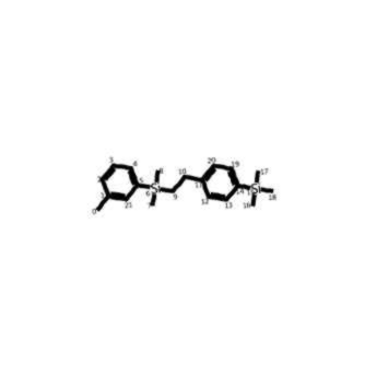 Cc1cccc([Si](C)(C)CCc2ccc([Si](C)(C)C)cc2)c1